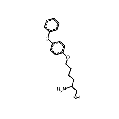 NC(CS)CCCCOc1ccc(Oc2ccccc2)cc1